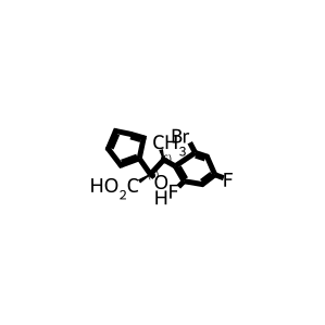 C[C@@H](c1c(F)cc(F)cc1Br)[C@@](O)(C(=O)O)c1ccccc1